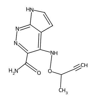 C#CC(C)ONc1c(C(N)=O)nnc2[nH]ccc12